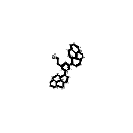 BrCCc1cc(-c2ccc3ccc4cccc5ccc2c3c45)cc(-c2ccc3ccc4cccc5ccc2c3c45)c1